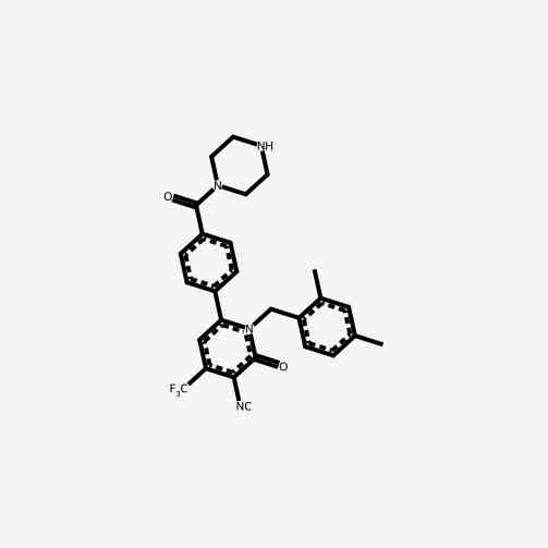 [C-]#[N+]c1c(C(F)(F)F)cc(-c2ccc(C(=O)N3CCNCC3)cc2)n(Cc2ccc(C)cc2C)c1=O